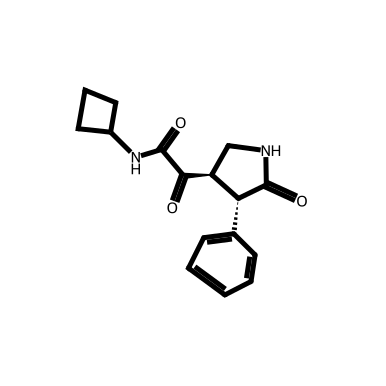 O=C(NC1CCC1)C(=O)[C@H]1CNC(=O)[C@@H]1c1ccccc1